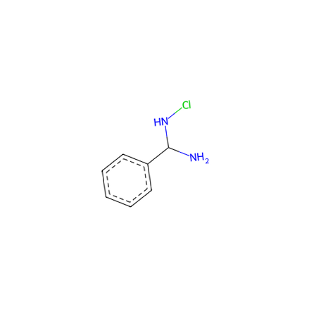 NC(NCl)c1ccccc1